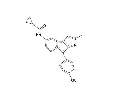 Cn1cc2c3cc(NC(=O)C4CC4)ccc3n(-c3ccc(C(F)(F)F)cc3)c2n1